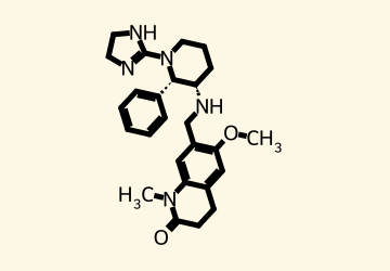 COc1cc2c(cc1CN[C@H]1CCCN(C3=NCCN3)[C@H]1c1ccccc1)N(C)C(=O)CC2